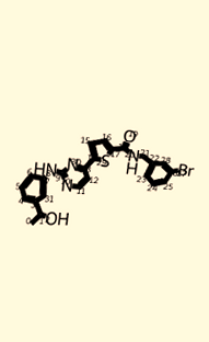 CC(O)c1cccc(Nc2nccc(-c3ccc(C(=O)NCc4cccc(Br)c4)s3)n2)c1